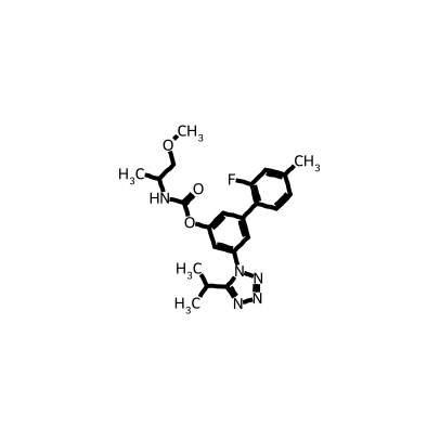 COCC(C)NC(=O)Oc1cc(-c2ccc(C)cc2F)cc(-n2nnnc2C(C)C)c1